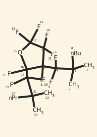 CCCCC(C)(C)C(F)(F)C1(F)C(F)(F)C(F)(F)OC1(F)C(F)(F)C(C)(C)CCC